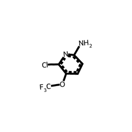 Nc1ccc(OC(F)(F)F)c(Cl)n1